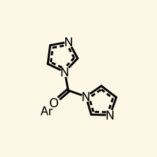 O=C(n1ccnc1)n1ccnc1.[Ar]